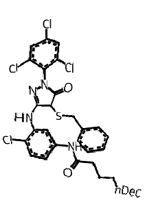 CCCCCCCCCCCCCC(=O)Nc1ccc(Cl)c(NC2=NN(c3c(Cl)cc(Cl)cc3Cl)C(=O)C2SCc2ccccc2)c1